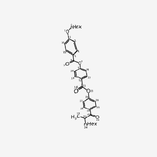 CCCCCCOc1ccc(C(=O)Oc2ccc(C(=O)Oc3ccc(C(=O)C(C)CCCCCC)cc3)cc2)cc1